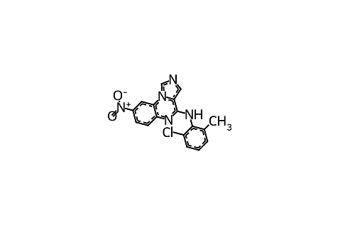 Cc1cccc(Cl)c1Nc1nc2ccc([N+](=O)[O-])cc2n2cncc12